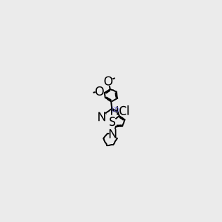 COc1ccc(/C(C#N)=C/c2ccc(N3CCCCC3)s2)cc1OC.Cl